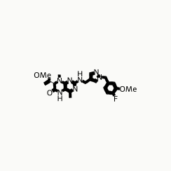 C=C(OC)[C@H]1C(=O)Nc2c(C)nc(NCc3cnn(Cc4ccc(F)c(OC)c4)c3)nc2N1C